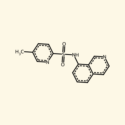 Cc1ccc(S(=O)(=O)Nc2cccc3ccncc23)nc1